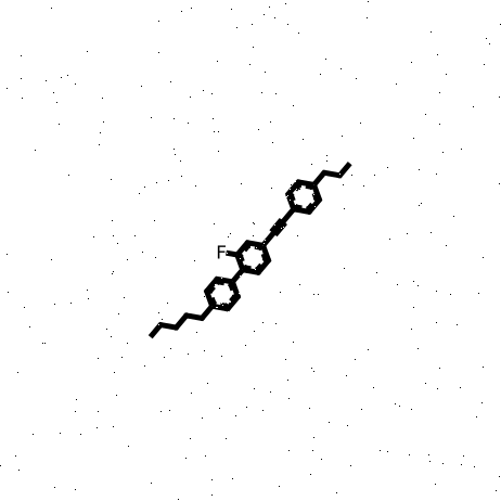 CCCCCc1ccc(-c2ccc(C#Cc3ccc(CCC)cc3)cc2F)cc1